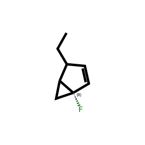 CCC1C=C[C@@]2(F)CC12